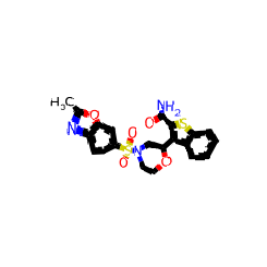 Cc1nc2ccc(S(=O)(=O)N3CCOC(c4c(C(N)=O)sc5ccccc45)C3)cc2o1